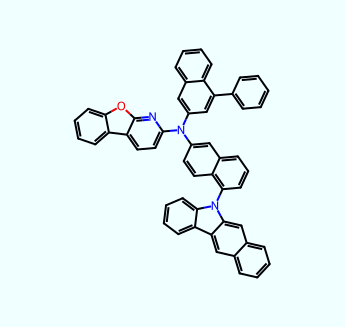 c1ccc(-c2cc(N(c3ccc4c(-n5c6ccccc6c6cc7ccccc7cc65)cccc4c3)c3ccc4c(n3)oc3ccccc34)cc3ccccc23)cc1